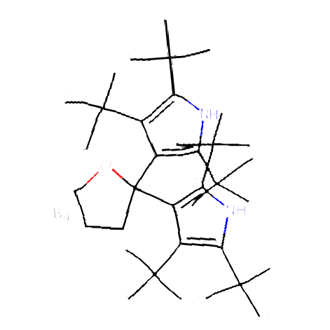 CC(C)(C)c1[nH]c(C(C)(C)C)c(C2(c3c(C(C)(C)C)[nH]c(C(C)(C)C)c3C(C)(C)C)CCCO2)c1C(C)(C)C.[Ba]